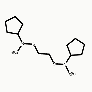 CC(C)(C)N(SCCSN(C1CCCC1)C(C)(C)C)C1CCCC1